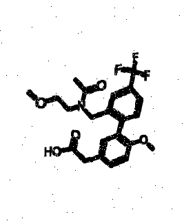 COCCN(Cc1cc(C(F)(F)F)ccc1-c1cc(CC(=O)O)ccc1OC)C(C)=O